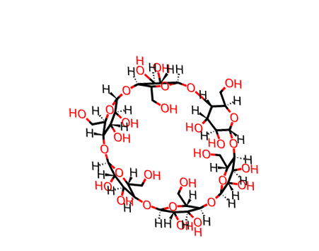 OCC1O[C@@H]2O[C@H]3[C@@H](O)[C@H](O)[C@@H](O[C@H]4[C@@H](O)[C@H](O)[C@@H](O[C@H]5[C@@H](O)[C@H](O)[C@@H](O[C@H]6[C@@H](O)[C@H](O)[C@@H](O[C@H]7[C@@H](O)[C@H](O)[C@@H](O[C@H]1[C@@H](O)[C@@H]2O)O[C@@H]7CO)O[C@@H]6CO)O[C@@H]5CO)O[C@@H]4CO)O[C@@H]3CO